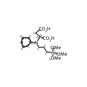 CO[Si](CCCN(c1ccccc1)[C@@H](CC(=O)O)C(=O)O)(OC)OC